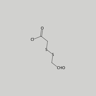 O=CCSSCC(=O)Cl